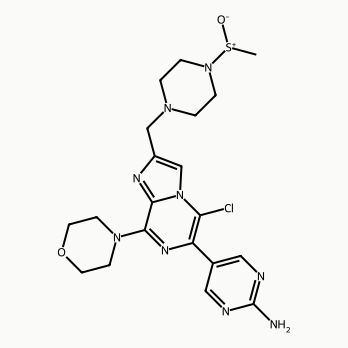 C[S+]([O-])N1CCN(Cc2cn3c(Cl)c(-c4cnc(N)nc4)nc(N4CCOCC4)c3n2)CC1